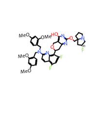 COc1ccc(CN(Cc2ccc(OC)cc2OC)c2ccc3c(F)cc(F)c(C4Cc5nc(OCC67CCCN6C[C@H](F)C7)nc(O)c5CO4)c3n2)c(OC)c1